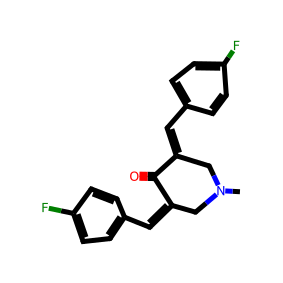 CN1CC(=Cc2ccc(F)cc2)C(=O)C(=Cc2ccc(F)cc2)C1